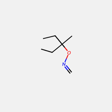 C=NOC(C)(CC)CC